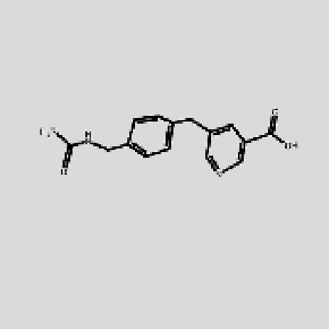 NC(=O)NCc1ccc(Cc2cncc(C(=O)O)c2)cc1